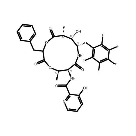 C[C@H]1OC(=O)C(Cc2ccccc2)OC(=O)[C@H](C)[C@H](O)[C@H](Cc2c(F)c(F)c(F)c(F)c2F)NC(=O)[C@H]1NC(=O)c1ncccc1O